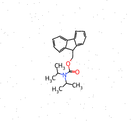 CC(C)N(C(=O)OCC1c2ccccc2-c2ccccc21)C(C)C